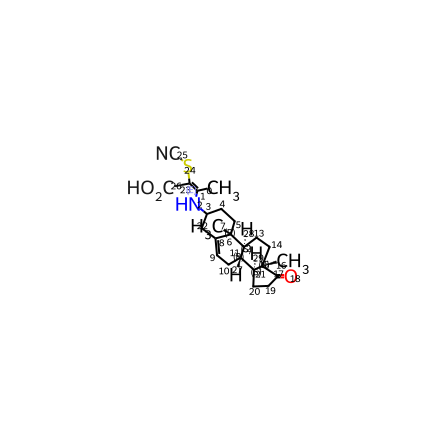 C/C(NC1CC[C@@]2(C)C(=CC[C@@H]3[C@@H]2CC[C@]2(C)C(=O)CC[C@@H]32)C1)=C(\SC#N)C(=O)O